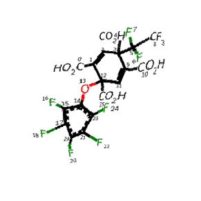 O=C(O)C1=CC(C(=O)O)(C(F)(F)C(F)(F)F)C(C(=O)O)=CC1(Oc1c(F)c(F)c(F)c(F)c1F)C(=O)O